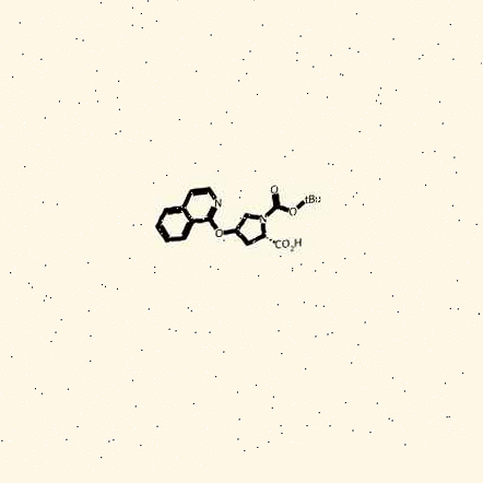 CC(C)(C)OC(=O)N1CC(Oc2nccc3ccccc23)C[C@H]1C(=O)O